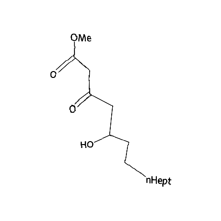 CCCCCCCCCC(O)CC(=O)CC(=O)OC